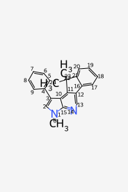 Cn1cc(-c2ccccc2)c2c3c(cnc21)-c1ccccc1C3(C)C